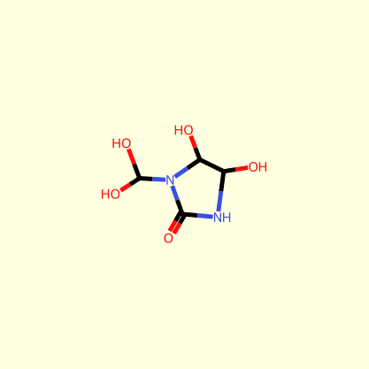 O=C1NC(O)C(O)N1C(O)O